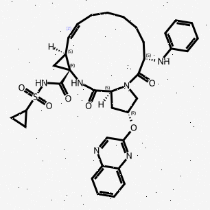 O=C1N[C@]2(C(=O)NS(=O)(=O)C3CC3)C[C@H]2/C=C\CCCCC[C@H](Nc2ccccc2)C(=O)N2C[C@H](Oc3cnc4ccccc4n3)C[C@@H]12